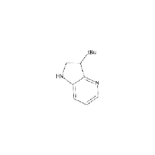 CC(C)(C)C1CNc2cccnc21